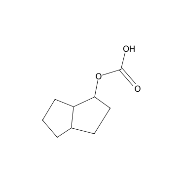 O=C(O)OC1CCC2CCCC21